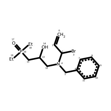 C=CC(Br)N(Cc1ccccc1)CC(O)CP(=O)(CC)CC